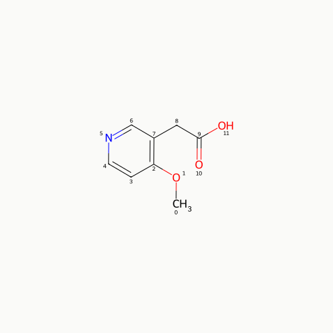 COc1ccncc1CC(=O)O